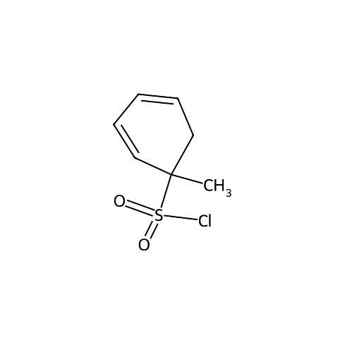 CC1(S(=O)(=O)Cl)C=CC=CC1